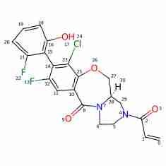 C=CC(=O)N1CCN2C(=O)c3cc(F)c(-c4c(O)cccc4F)c(Cl)c3OC[C@H]2C1